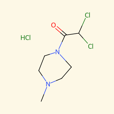 CN1CCN(C(=O)C(Cl)Cl)CC1.Cl